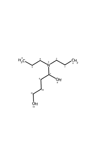 CCCN(CCC)C(O)CCCO